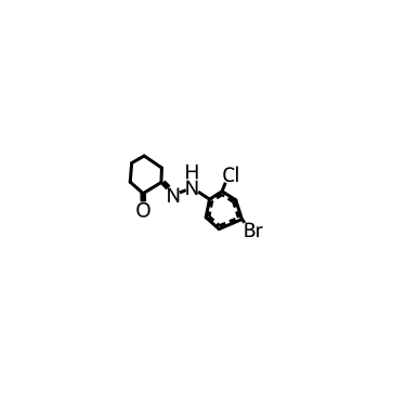 O=C1CCCC/C1=N\Nc1ccc(Br)cc1Cl